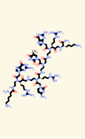 Cc1cn(CC(=O)N(CCNC(=O)[C@H](CCCNC(=N)N)N(CCNCC(=O)[C@H](CCCNC(=N)N)N(CCNC(=O)[C@@H](N)CCCCN)C(=O)Cn2cnc3c(=O)[nH]c(N)nc32)C(=O)Cn2ccc(N)nc2=O)CC(=O)NCCN(C(=O)Cn2cnc3c(=O)[nH]c(N)nc32)[C@@H](CCCNC(=N)N)C(=O)CN[C@@H](CCCCN)C(N)=O)c(=O)[nH]c1=O